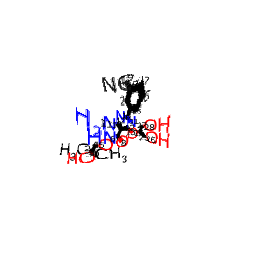 CC(C)(O)CONC(=O)c1c(N)nc(-c2cccc(C#N)c2)nc1OC(CO)CO